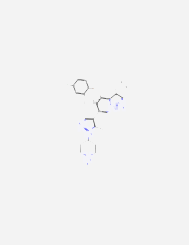 Cc1c(-c2cc(Sc3ccc(F)cc3C#N)c3c(C#N)cnn3c2)cnn1C1CCN(C)CC1